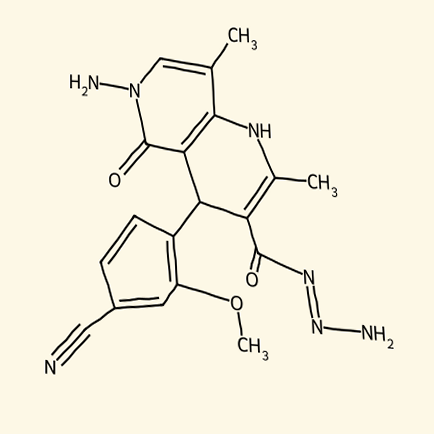 COc1cc(C#N)ccc1C1C(C(=O)N=NN)=C(C)Nc2c(C)cn(N)c(=O)c21